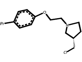 CC(C)c1ccc(OCCN2CC[C@H](CCl)C2)cc1